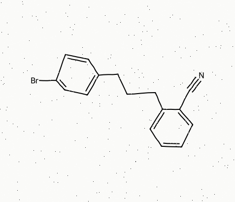 N#Cc1ccccc1CCCc1ccc(Br)cc1